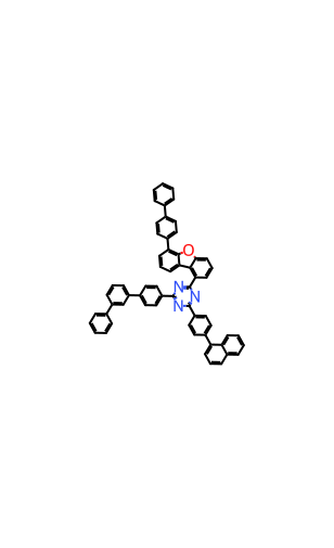 c1ccc(-c2ccc(-c3cccc4c3oc3cccc(-c5nc(-c6ccc(-c7cccc(-c8ccccc8)c7)cc6)nc(-c6ccc(-c7cccc8ccccc78)cc6)n5)c34)cc2)cc1